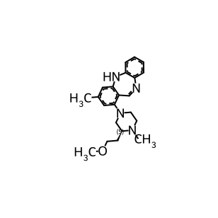 COCC[C@H]1CN(c2cc(C)cc3c2C=Nc2ccccc2N3)CCN1C